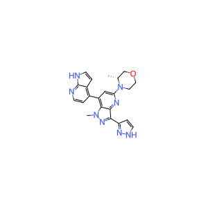 C[C@@H]1COCCN1c1cc(-c2ccnc3[nH]ccc23)c2c(n1)c(-c1cc[nH]n1)nn2C